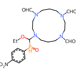 CCOC(N1CCCN(C=O)CCN(C=O)CCCN(C=O)CC1)[PH](=O)c1ccc([N+](=O)[O-])cc1